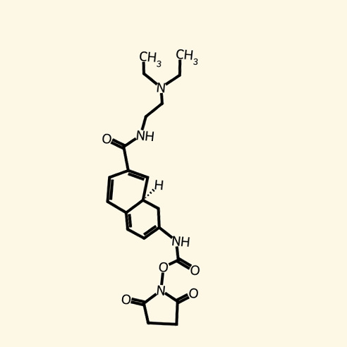 CCN(CC)CCNC(=O)C1=C[C@H]2CC(NC(=O)ON3C(=O)CCC3=O)=CC=C2C=C1